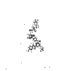 COC(=O)[C@H](CCNC(=O)C(=O)Nc1ccc(O)nc1)NC(=O)c1ccc(Nc2nc(NC3(c4ccc(Cl)cc4)CC3)nc(OCC(F)(F)F)n2)cc1